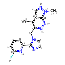 CCCc1c(Cn2ccnc2-c2cccc(F)n2)nnc2c1cnn2C